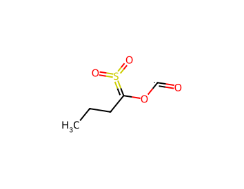 CCCC(O[C]=O)=S(=O)=O